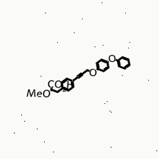 COC(Cc1ccc(C#CCOc2ccc(Oc3ccccc3)cc2)cc1)C(=O)O